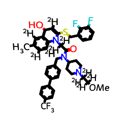 [2H]C1=C(SCc2cccc(F)c2F)N(C([2H])([2H])C(=O)N(Cc2ccc(-c3ccc(C(F)(F)F)cc3)cc2)C2CCN(C([2H])([2H])C([2H])([2H])OC)CC2)c2c([2H])c([2H])c(C)c([2H])c2C1O